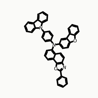 c1ccc(-c2nc3ccc4c(N(c5ccc(-n6c7ccccc7c7ccccc76)cc5)c5ccc6oc7ccccc7c6c5)cccc4c3o2)cc1